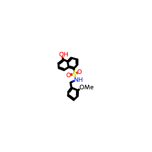 COc1ccccc1CNS(=O)(=O)c1cccc2c(O)cccc12